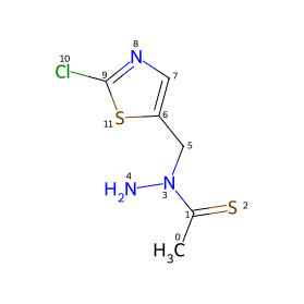 CC(=S)N(N)Cc1cnc(Cl)s1